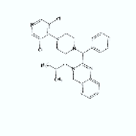 CC(C)CN1Cc2ccccc2N=C1C(c1ccccc1)N1CCN(c2c(Cl)cncc2Cl)CC1